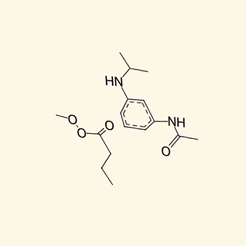 CC(=O)Nc1cccc(NC(C)C)c1.CCCC(=O)OOC